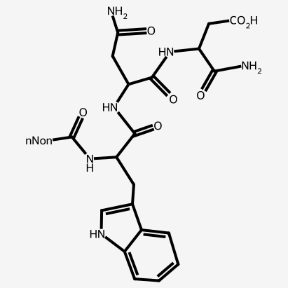 CCCCCCCCCC(=O)NC(Cc1c[nH]c2ccccc12)C(=O)NC(CC(N)=O)C(=O)NC(CC(=O)O)C(N)=O